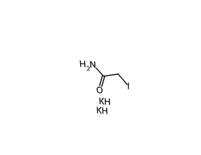 NC(=O)CI.[KH].[KH]